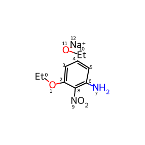 CCOc1cccc(N)c1[N+](=O)[O-].CC[O-].[Na+]